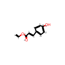 C=COC(=O)C=Cc1ccc(O)cc1